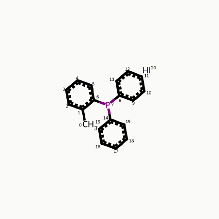 Cc1ccccc1P(c1ccccc1)c1ccccc1.I